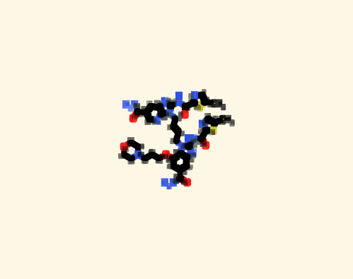 Cc1cnc(C(=O)Nc2nc3cc(C(N)=O)cnc3n2CC=CCn2c(NC(=O)c3ncc(C)s3)nc3cc(C(N)=O)cc(OCCCN4CCOCC4)c32)s1